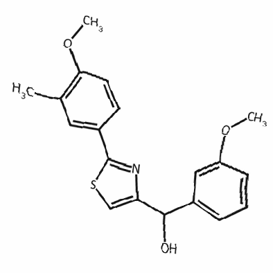 COc1cccc(C(O)c2csc(-c3ccc(OC)c(C)c3)n2)c1